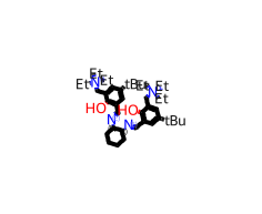 CC[N+](CC)(CC)Cc1cc(C(C)(C)C)cc(/C=N/[C@@H]2CCCC[C@H]2/N=C/c2cc(C(C)(C)C)cc(C[N+](CC)(CC)CC)c2O)c1O